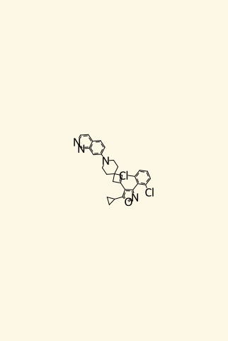 Clc1cccc(Cl)c1-c1noc(C2CC2)c1C1=CC2(CCN(c3ccc4ccnnc4c3)CC2)C1